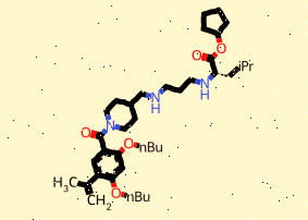 C=C(C)c1cc(C(=O)N2CCC(CNCCCN[C@@H](CC(C)C)C(=O)OC3CCCC3)CC2)c(OCCCC)cc1OCCCC